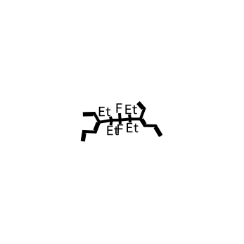 C=C/C=C(\C=C)C(CC)(CC)C(F)(F)C(CC)(CC)/C(C=C)=C/C=C